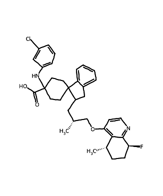 C[C@@H](COc1ccnc2c1[C@@H](C)CC[C@@H]2F)CC1Cc2ccccc2C12CCC(Nc1cccc(Cl)c1)(C(=O)O)CC2